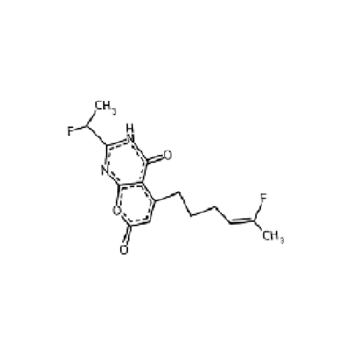 C/C(F)=C/CCCc1cc(=O)oc2nc(C(C)F)[nH]c(=O)c12